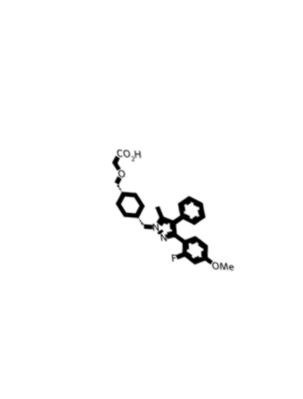 COc1ccc(-c2nn(C[C@H]3CC[C@@H](COCC(=O)O)CC3)c(C)c2-c2ccccc2)c(F)c1